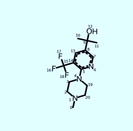 CN1CCN(c2ncc(C(C)(C)O)cc2C(F)(F)F)CC1